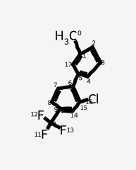 Cc1cccc(-c2ccc(C(F)(F)F)cc2Cl)c1